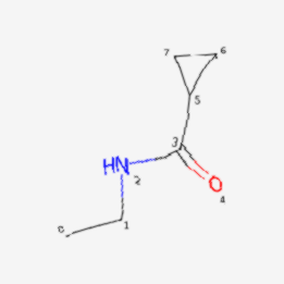 CCNC(=O)C1[CH]C1